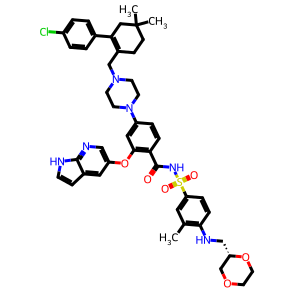 Cc1cc(S(=O)(=O)NC(=O)c2ccc(N3CCN(CC4=C(c5ccc(Cl)cc5)CC(C)(C)CC4)CC3)cc2Oc2cnc3[nH]ccc3c2)ccc1NC[C@H]1COCCO1